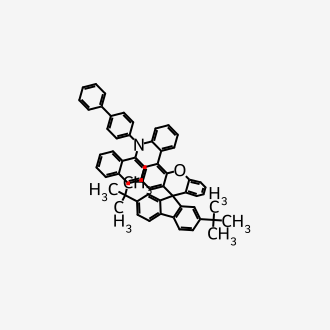 CC(C)(C)c1ccc2c(c1)C1(c3ccccc3Oc3c(-c4ccccc4N(c4ccc(-c5ccccc5)cc4)c4cccc5ccccc45)cccc31)c1cc(C(C)(C)C)ccc1-2